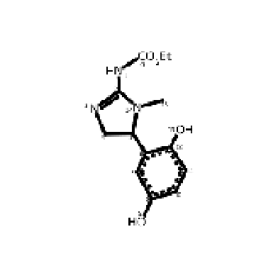 CCOC(=O)NC1=NCC(c2cc(O)ccc2O)N1C